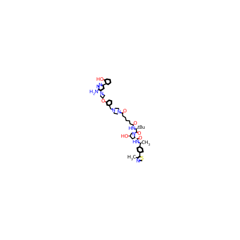 Cc1ncsc1-c1ccc([C@H](C)NC(=O)[C@@H]2C[C@@H](O)CN2C(=O)[C@@H](NC(=O)CCCCCC(=O)N2CCN(Cc3cccc(OC4CN(c5cc(-c6ccccc6O)nnc5N)C4)c3)CC2)C(C)(C)C)cc1